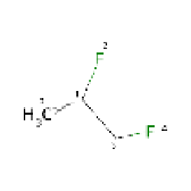 C[C@H](F)CF